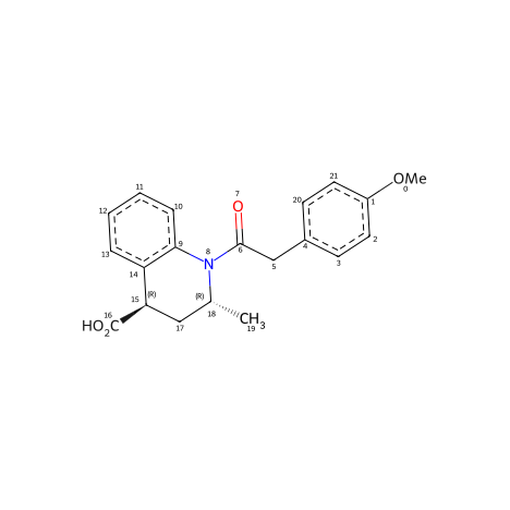 COc1ccc(CC(=O)N2c3ccccc3[C@H](C(=O)O)C[C@H]2C)cc1